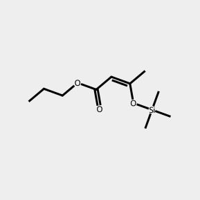 CCCOC(=O)/C=C(/C)O[Si](C)(C)C